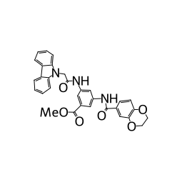 COC(=O)c1cc(NC(=O)Cn2c3ccccc3c3ccccc32)cc(NC(=O)c2ccc3c(c2)OCCO3)c1